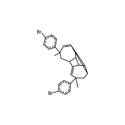 CC1(c2ccc(Br)cc2)C=C2C3CC(C)(c4ccc(Br)cc4)C=C4C(C1)C1C4C3C21